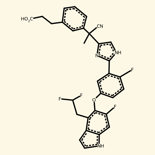 CC(C#N)(c1cccc(CCC(=O)O)c1)c1c[nH]c(-c2cc(Oc3c(F)cc4[nH]ccc4c3CC(F)F)ccc2F)n1